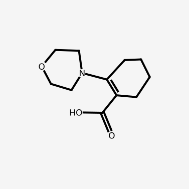 O=C(O)C1=C(N2CCOCC2)CCCC1